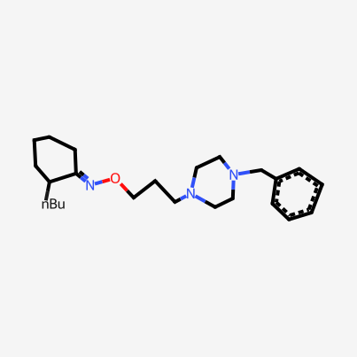 CCCCC1CCCCC1=NOCCCN1CCN(Cc2ccccc2)CC1